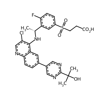 C[C@@H](Nc1c(Cl)cnc2ccc(-c3cnc(C(C)(C)O)nc3)cc12)c1cc(S(=O)(=O)CCC(=O)O)ccc1F